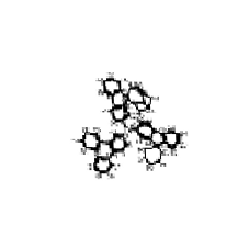 c1ccc(-c2ccc(N(c3ccc4c(c3)C3(CCCCC3)c3ccccc3-4)c3ccc4c(c3)C3(c5ccccc5-4)C4CC5CC(C4)CC3C5)cc2-c2ccccc2)cc1